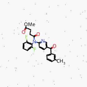 COC(=O)CCC(=O)N(c1ccc(C(=O)c2cccc(C)c2)cn1)c1c(F)cccc1F